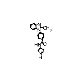 Cc1nc2ccccc2n1-c1ccc(C(=O)NC2CCNC2)cc1